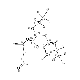 CO[C@H]1O[C@@H](O[C@H](C)CCC=O)[C@H](O[Si](C)(C)C(C)(C)C)C[C@H]1O[Si](C)(C)C(C)(C)C